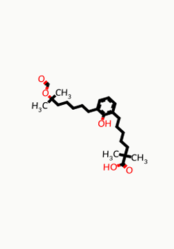 CC(C)(CCCCCc1cccc(CCCCCC(C)(C)C(=O)O)c1O)OC=O